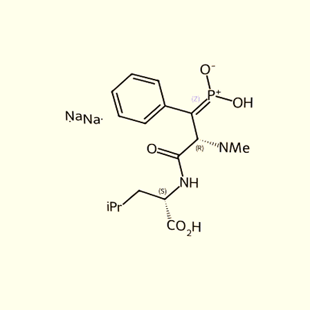 CN[C@H](C(=O)N[C@@H](CC(C)C)C(=O)O)/C(c1ccccc1)=[P+](/[O-])O.[Na].[Na]